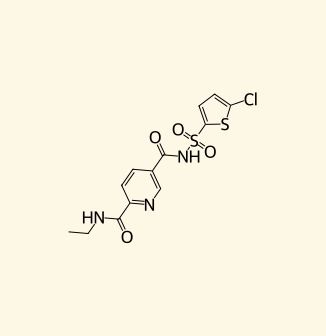 CCNC(=O)c1ccc(C(=O)NS(=O)(=O)c2ccc(Cl)s2)cn1